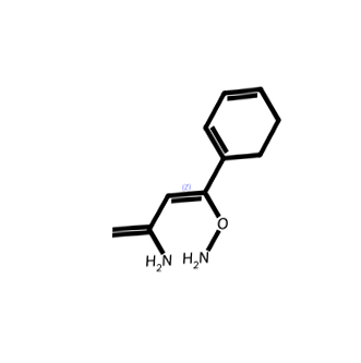 C=C(N)/C=C(\ON)C1=CC=CCC1